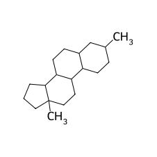 CC1CCC2C(CCC3C2CCC2(C)CCCC32)C1